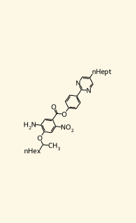 CCCCCCCc1cnc(-c2ccc(OC(=O)c3cc(N)c(OC(C)CCCCCC)cc3[N+](=O)[O-])cc2)nc1